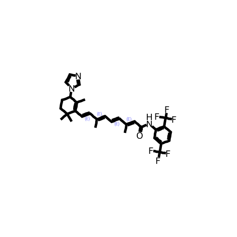 CC1=C(/C=C/C(C)=C/C=C/C(C)=C/C(=O)Nc2cc(C(F)(F)F)ccc2C(F)(F)F)C(C)(C)CCC1n1ccnc1